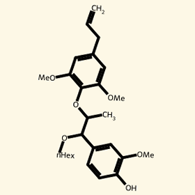 C=CCc1cc(OC)c(OC(C)C(OCCCCCC)c2ccc(O)c(OC)c2)c(OC)c1